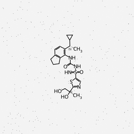 C[C@H](c1ccc2c(c1NC(=O)NS(=N)(=O)c1cnc([C@@](C)(O)CO)s1)CCC2)C1CC1